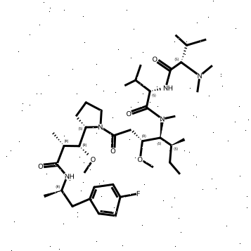 CC[C@H](C)[C@@H]([C@@H](CC(=O)N1CCC[C@H]1[C@H](OC)[C@@H](C)C(=O)N[C@H](C)Cc1ccc(F)cc1)OC)N(C)C(=O)[C@@H](NC(=O)[C@H](C(C)C)N(C)C)C(C)C